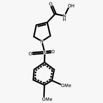 COc1ccc(S(=O)(=O)N2CC=C(C(=O)NO)C2)cc1OC